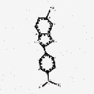 CC[S+]([O-])c1ccc(-c2nc3cc(C(F)(F)F)ccc3o2)cc1